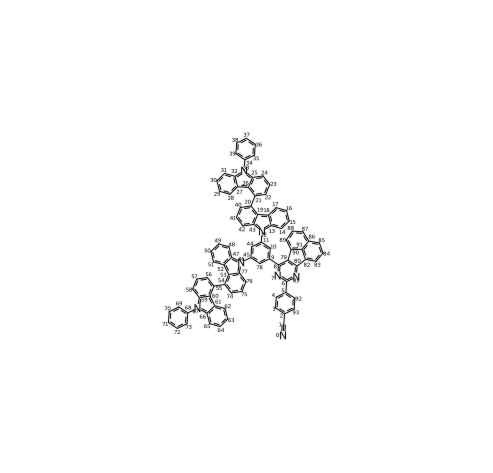 N#Cc1ccc(-c2nc(-c3cc(-n4c5ccccc5c5c(-c6cccc7c6c6ccccc6n7-c6ccccc6)cccc54)cc(-n4c5ccccc5c5c(-c6cccc7c6c6ccccc6n7-c6ccccc6)cccc54)c3)c3c(n2)-c2cccc4cccc-3c24)cc1